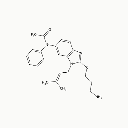 CC(C)=CCn1c(SCCCN)nc2ccc(N(C(=O)C(F)(F)F)c3ccccc3)cc21